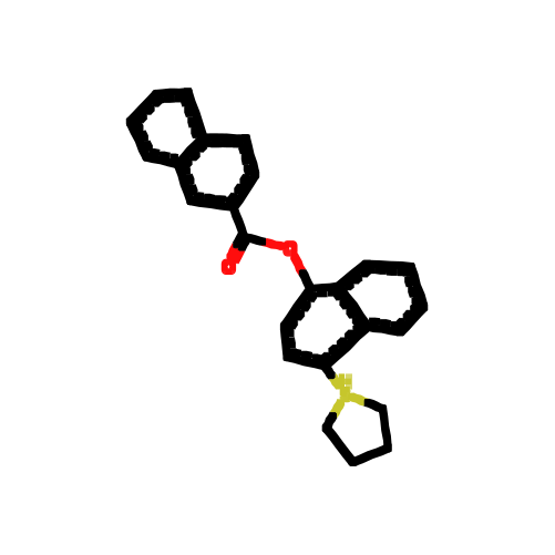 O=C(Oc1ccc([SH]2CCCC2)c2ccccc12)c1ccc2ccccc2c1